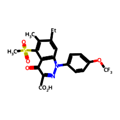 CCc1cc2c(c(S(C)(=O)=O)c1C)c(=O)c(C(=O)O)nn2-c1ccc(OC(F)(F)F)cc1